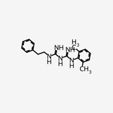 Cc1cccc(C)c1NC(=N)NC(=N)NCCc1ccccc1